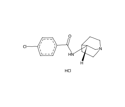 Cl.O=C(N[C@H]1CN2CCC1CC2)c1ccc(Cl)cc1